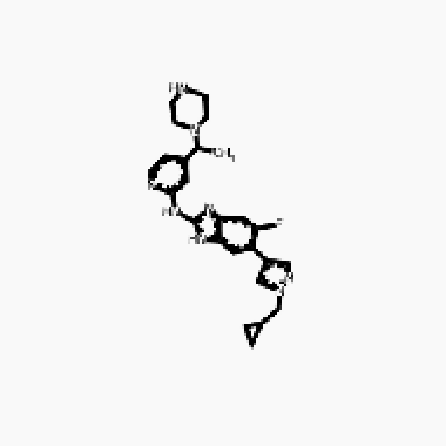 CC(c1ccnc(Nc2nc3cc(F)c(-c4cnn(CC5CC5)c4)cc3[nH]2)c1)N1CCNCC1